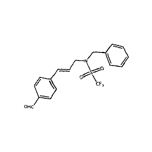 O=Cc1ccc(/C=C/CN(Cc2ccccc2)S(=O)(=O)C(F)(F)F)cc1